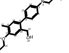 CCCCNc1ccc(-c2cc(C)c(OCC)cc2CO)cc1